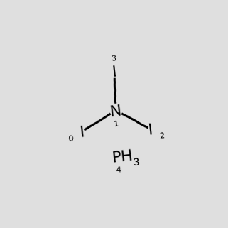 IN(I)I.P